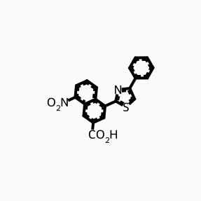 O=C(O)c1cc(-c2nc(-c3ccccc3)cs2)c2cccc([N+](=O)[O-])c2c1